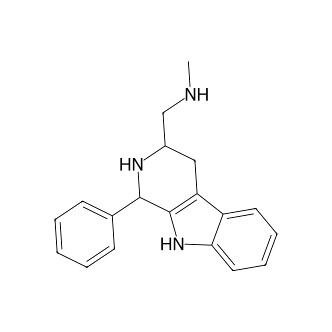 CNCC1Cc2c([nH]c3ccccc23)C(c2ccccc2)N1